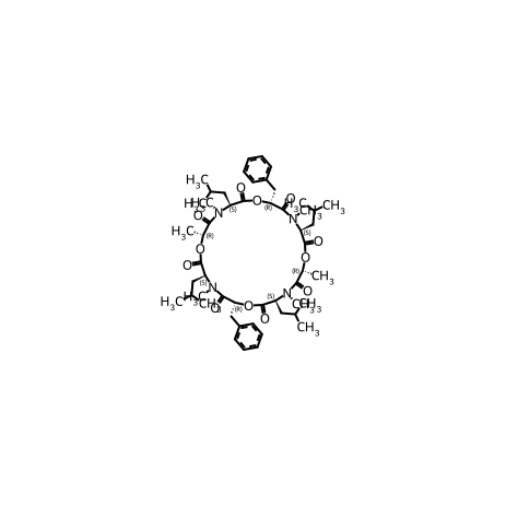 CC(C)C[C@H]1C(=O)O[C@H](Cc2ccccc2)C(=O)N(C)[C@@H](CC(C)C)C(=O)O[C@H](C)C(=O)N(C)[C@@H](CC(C)C)C(=O)O[C@H](Cc2ccccc2)C(=O)N(C)[C@@H](CC(C)C)C(=O)O[C@H](C)C(=O)N1C